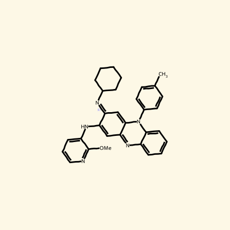 COc1ncccc1Nc1cc2nc3ccccc3n(-c3ccc(C)cc3)c-2c/c1=N\C1CCCCC1